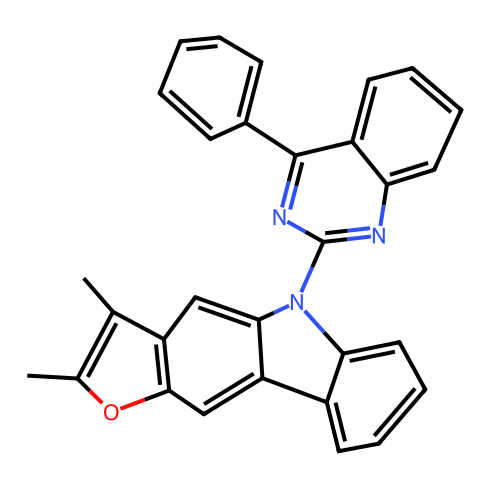 Cc1oc2cc3c4ccccc4n(-c4nc(-c5ccccc5)c5ccccc5n4)c3cc2c1C